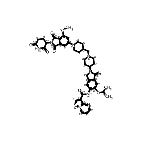 COc1cc(N2CCC(CN3CCC(N4Cc5cc(NC(=O)c6cnn7cccnc67)c(OC(C)C)cc5C4=O)CC3)CC2)cc2c1C(=O)N(C1CCC(=O)NC1=O)C2=O